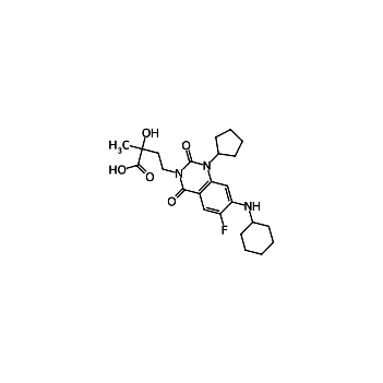 CC(O)(CCn1c(=O)c2cc(F)c(NC3CCCCC3)cc2n(C2CCCC2)c1=O)C(=O)O